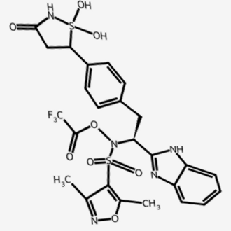 Cc1noc(C)c1S(=O)(=O)N(OC(=O)C(F)(F)F)[C@@H](Cc1ccc(C2CC(=O)NS2(O)O)cc1)c1nc2ccccc2[nH]1